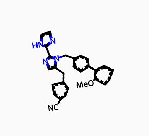 COc1ccccc1-c1ccc(Cn2c(Cc3ccc(C#N)cc3)cnc2-c2ncc[nH]2)cc1